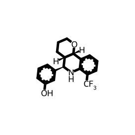 Oc1cccc([C@@H]2Nc3c(cccc3C(F)(F)F)[C@H]3OCCC[C@H]32)c1